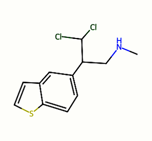 CNCC(c1ccc2sccc2c1)C(Cl)Cl